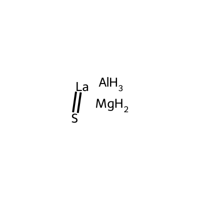 [AlH3].[MgH2].[S]=[La]